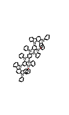 c1ccc(N2c3ccccc3B3c4cc5c(cc4N(c4ccccc4)c4cc(-n6c7ccccc7c7ccc8c(c9ccccc9n8-c8ccccc8)c76)cc2c43)N(c2ccccc2)c2cc(-n3c4ccccc4c4ccc6c(c7ccccc7n6-c6ccccc6)c43)cc3c2B5c2ccccc2N3c2ccccc2)cc1